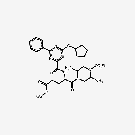 CCOC(=O)N1CC(C)N(C(=O)C(CCC(=O)OC(C)(C)C)NC(=O)c2cc(OC3CCCC3)nc(-c3ccccc3)n2)CC1C